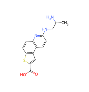 CC(N)CNc1ccc2c(ccc3sc(C(=O)O)cc32)n1